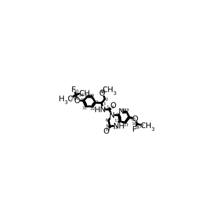 COCC(NC(=O)N1CC(=O)Nc2cc(OC(C)F)cnc21)c1ccc(OC(C)(C)F)cc1